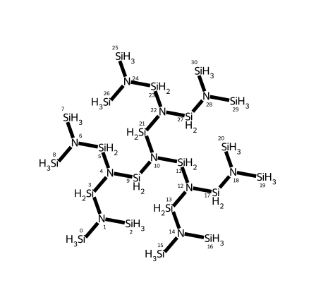 [SiH3]N([SiH3])[SiH2]N([SiH2]N([SiH3])[SiH3])[SiH2]N([SiH2]N([SiH2]N([SiH3])[SiH3])[SiH2]N([SiH3])[SiH3])[SiH2]N([SiH2]N([SiH3])[SiH3])[SiH2]N([SiH3])[SiH3]